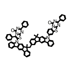 CC1(C)c2ccc(CC3(C)c4ccccc4-c4cc5c6ccccc6n(-c6sc7nc(-c8ccccc8)nc(=O)n7c6-c6ccccc6)c5cc43)cc2-c2cc3c4ccccc4n(-c4ccc5c(c4)sc4nc(-c6ccccc6)nc(=O)n45)c3cc21